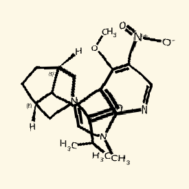 COc1c([N+](=O)[O-])cnc2c1c(C1[C@@H]3CC[C@H]1CN(C(=O)C(C)C)C3)cn2C